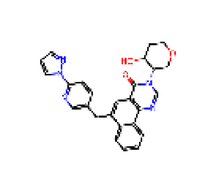 O=c1c2cc(Cc3ccc(-n4cccn4)nc3)c3ccccc3c2ncn1[C@H]1COCC[C@@H]1O